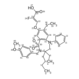 CCCCC1(CC)CN(c2ccccc2)c2cc(SC)c(OC=C(F)C(=O)O)cc2S(=O)(=O)N1Cc1ccc(OC)cc1